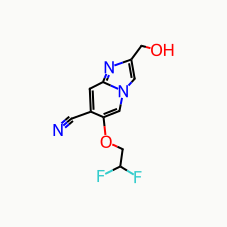 N#Cc1cc2nc(CO)cn2cc1OCC(F)F